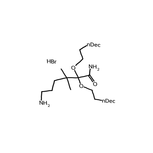 Br.CCCCCCCCCCCCOC(OCCCCCCCCCCCC)(C(N)=O)C(C)(C)CCCN